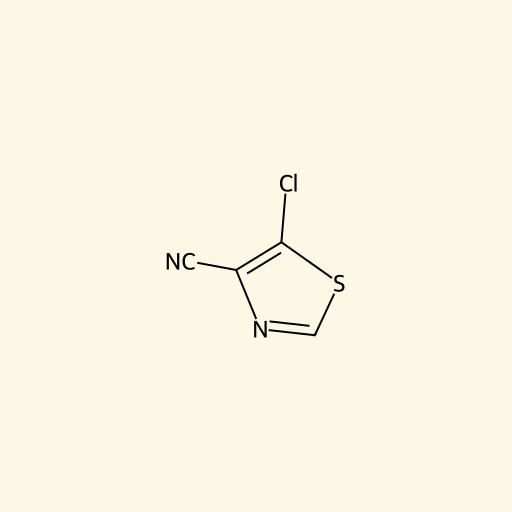 N#Cc1ncsc1Cl